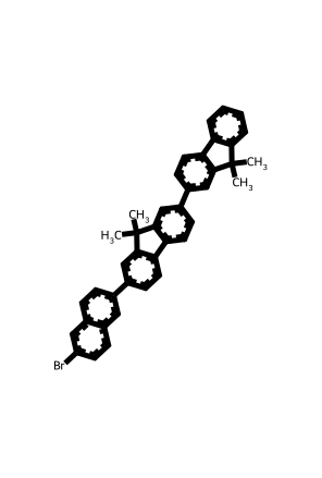 CC1(C)c2ccccc2-c2ccc(-c3ccc4c(c3)C(C)(C)c3cc(-c5ccc6cc(Br)ccc6c5)ccc3-4)cc21